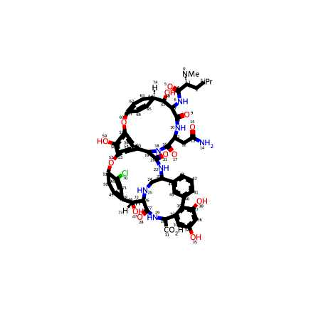 CN[C@H](CC(C)C)C(=O)NC1C(=O)NC(CC(N)=O)C(=O)NC2C(=O)NC3CN[C@H](C(=O)NC(C(=O)O)c4cc(O)cc(O)c4-c4cccc3c4)[C@H](O)C3=CCC(Oc4cc2cc(c4O)OC2=CC[C@H](C=C2)C1O)C(Cl)=C3